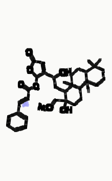 CC(=O)OCC1(O)CCC2C3(C)CCCC(C)(C)C3CCC2(C)C1CC(O)C1=CC(=O)OC1OC(=O)/C=C/c1ccccc1